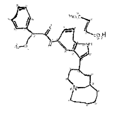 CCC(C)ON(C(=S)Nc1ccc2[nH]cc(C3CCN4CCCCC4C3)c2c1)c1ccccc1.O=C(O)/C=C/C(=O)O